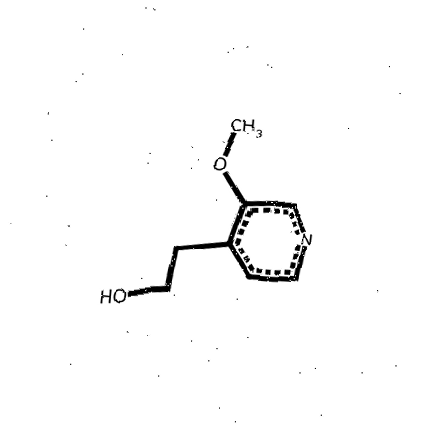 COc1cnccc1CCO